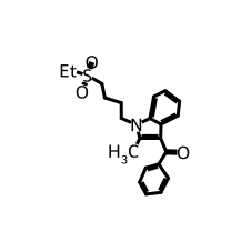 CCS(=O)(=O)CCCCn1c(C)c(C(=O)c2ccccc2)c2ccccc21